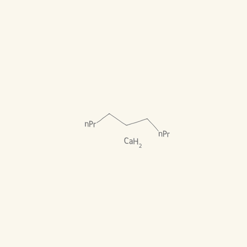 [CH2]CCCCCCCC.[CaH2]